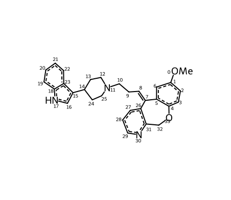 COc1ccc2c(c1)/C(=C/CCN1CCC(c3c[nH]c4ccccc34)CC1)c1cccnc1CO2